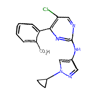 O=C(O)c1ccccc1-c1nc(Nc2cnn(C3CC3)c2)ncc1Cl